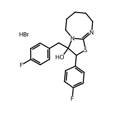 Br.OC1(Cc2ccc(F)cc2)C(c2ccc(F)cc2)SC2=NCCCCCN21